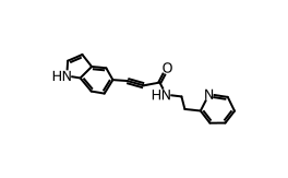 O=C(C#Cc1ccc2[nH]ccc2c1)NCCc1ccccn1